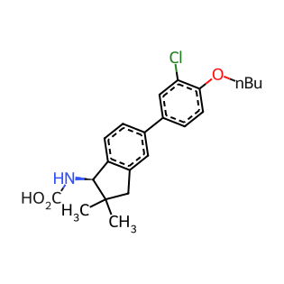 CCCCOc1ccc(-c2ccc3c(c2)CC(C)(C)[C@H]3NC(=O)O)cc1Cl